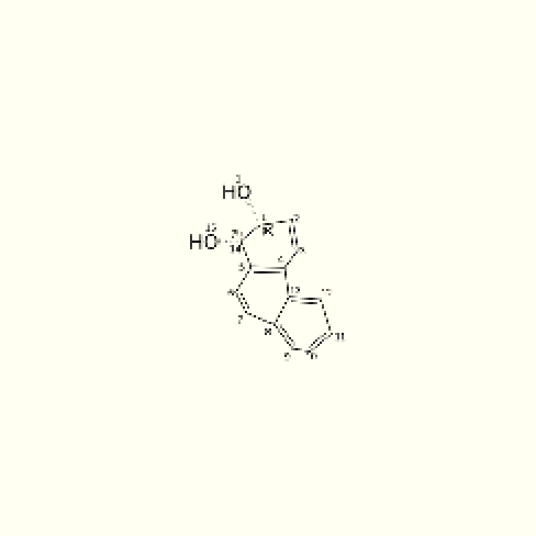 O[C@@H]1C=Cc2c(ccc3ccccc23)[C@@H]1O